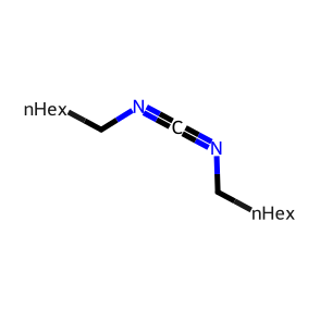 CCCCCCCN=C=NCCCCCCC